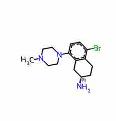 CN1CCN(c2ccc(Br)c3c2C[C@H](N)CC3)CC1